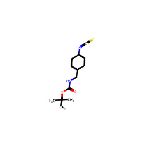 CC(C)(C)OC(=O)NCC1CCC(N=C=S)CC1